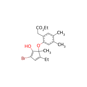 CCOC(=O)Cc1cc(C)c(C)cc1OC1(C)C(CC)=CC(Br)=C1O